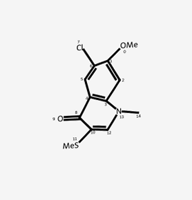 COc1cc2c(cc1Cl)c(=O)c(SC)cn2C